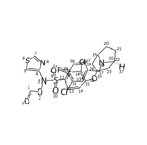 O=CON(c1cscn1)S(=O)(=O)c1ccc(OC2CC3CC[C@@H](C2)N3Cc2ccc(F)c(Cl)c2)c(Cl)c1